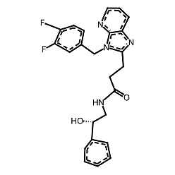 O=C(CCc1nc2cccnc2n1Cc1ccc(F)c(F)c1)NC[C@@H](O)c1ccccc1